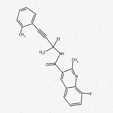 CCC(C)(C#Cc1ccccc1C)NC(=O)c1cc2cccc(F)c2nc1C